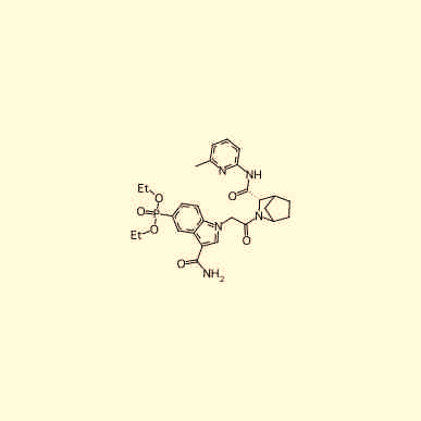 CCOP(=O)(OCC)c1ccc2c(c1)c(C(N)=O)cn2CC(=O)N1C2CCC(C2)[C@H]1C(=O)Nc1cccc(C)n1